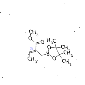 C/C=C(\CB1OC(C)(C)C(C)(C)O1)C(=O)OC